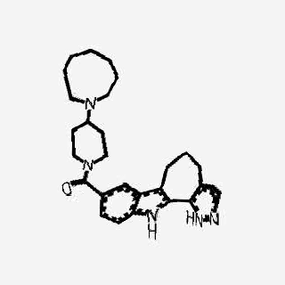 O=C(c1ccc2[nH]c3c(c2c1)CCCc1cn[nH]c1-3)N1CCC(N2CCCCCCC2)CC1